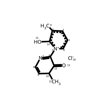 Cc1ccc[n+](C2=NC=CC(C)C2=O)c1O.[Cl-]